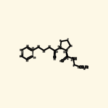 CCOC(=O)CNC(=O)[C@@H]1CCCN1C(=O)CCCc1ccccc1